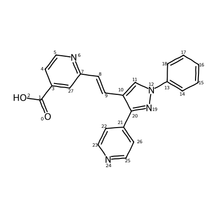 O=C(O)c1ccnc(C=Cc2cn(-c3ccccc3)nc2-c2ccncc2)c1